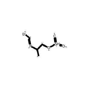 CCC=NC(C)CO[SH](=O)=O